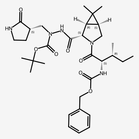 CC[C@@H](C)[C@H](NC(=O)OCc1ccccc1)C(=O)N1C[C@H]2[C@@H]([C@H]1C(=O)NN(C[C@@H]1CCNC1=O)C(=O)OC(C)(C)C)C2(C)C